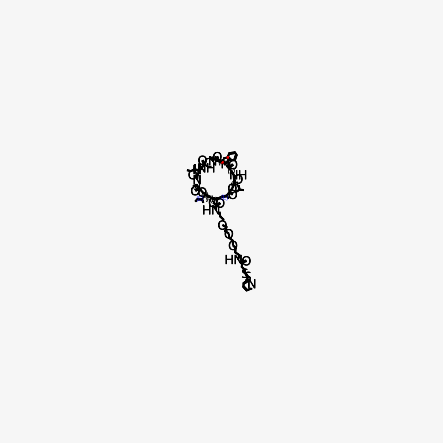 C/C=C(\C)[C@H]1OC(=O)[C@@H](C)NC(=O)C(C(C)CC)NC(=O)CN(C)C(=O)[C@@H](Cc2ccccc2)N(C)C(=O)[C@H](C)NC(=O)[C@@H](CC(C)C)OC(=O)/C(C)=C/C[C@H](OC(=O)NCCCOCCOCCOCCCNC(=O)CCSSc2ccccn2)[C@@H]1C